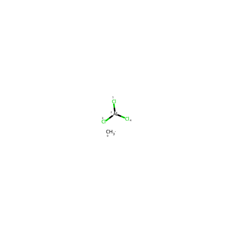 [CH3].[Cl][Al]([Cl])[Cl]